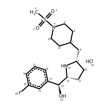 CS(=O)(=O)N1CCC(C[C@@H]2CC[C@H]([C@@H](O)c3cccc(F)c3)N2)CC1.Cl